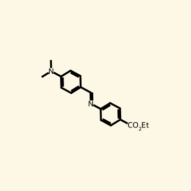 CCOC(=O)c1ccc(/N=C/c2ccc(N(C)C)cc2)cc1